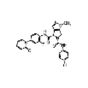 Cn1ncc2c1CN(C(=O)Nc1ccc(Cl)cc1)[C@H]2C(=O)Nc1ccc(-n2ccccc2=O)cc1F